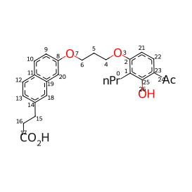 CCCc1c(OCCCOc2ccc3ccc(CCC(=O)O)cc3c2)ccc(C(C)=O)c1O